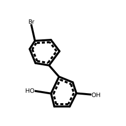 Oc1ccc(O)c(-c2ccc(Br)cc2)c1